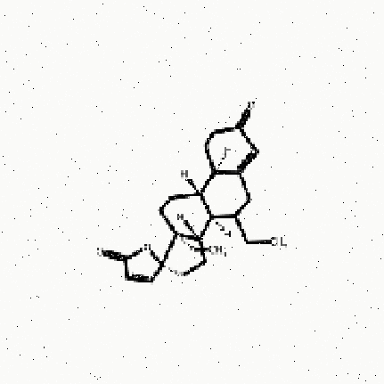 CCC1CC2=CC(=O)CC[C@@H]2[C@H]2CC[C@@]3(CC)[C@@H](CC[C@@]34C=CC(=O)O4)[C@H]12